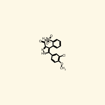 COc1ccc(-c2[nH]nc(C(N)=O)c2-c2ccccc2S(N)(=O)=O)cc1Cl